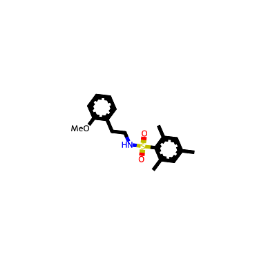 COc1ccccc1CCNS(=O)(=O)c1c(C)cc(C)cc1C